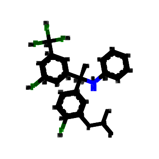 CC(C)Cc1cc([C@@](C)(Nc2ccccc2)c2cc(F)cc(C(F)(F)F)c2)ccc1F